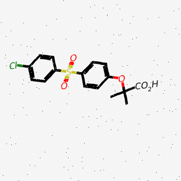 CC(C)(Oc1ccc(S(=O)(=O)c2ccc(Cl)cc2)cc1)C(=O)O